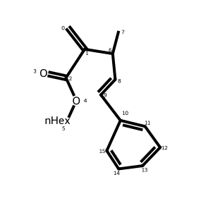 C=C(C(=O)OCCCCCC)C(C)C=Cc1ccccc1